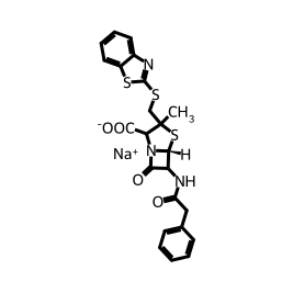 CC1(CSc2nc3ccccc3s2)S[C@@H]2C(NC(=O)Cc3ccccc3)C(=O)N2C1C(=O)[O-].[Na+]